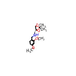 COc1ccc(CNC[C@@H]2COC(C)(C)O2)c(OC)c1